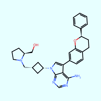 Nc1ncnc2c1c(-c1ccc3c(c1)O[C@@H](c1ccccc1)CC3)cn2[C@H]1C[C@@H](CN2CCC[C@H]2CO)C1